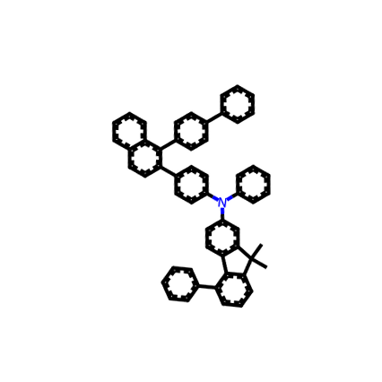 CC1(C)c2cc(N(c3ccccc3)c3ccc(-c4ccc5ccccc5c4-c4ccc(-c5ccccc5)cc4)cc3)ccc2-c2c(-c3ccccc3)cccc21